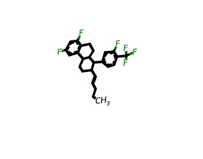 CCCC=CC1CCC2c3cc(F)cc(F)c3CCC2C1c1ccc(C(F)(F)F)c(F)c1